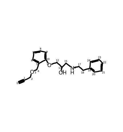 C#CCOCc1ccccc1OCC(O)CNCCc1ccccc1